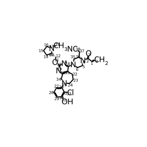 C=CC(=O)N1CCN(c2nc(OC[C@@H]3CCCN3C)nc3c2CCCN(c2cccc(O)c2Cl)C3)CC1CC#N